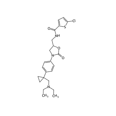 CCN(CC)CC1(c2ccc(N3CC(CNC(=O)c4ccc(Cl)s4)OC3=O)cc2)CC1